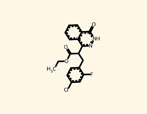 CCOC(=O)C(Cc1ccc(Cl)cc1F)c1n[nH]c(=O)c2ccccc12